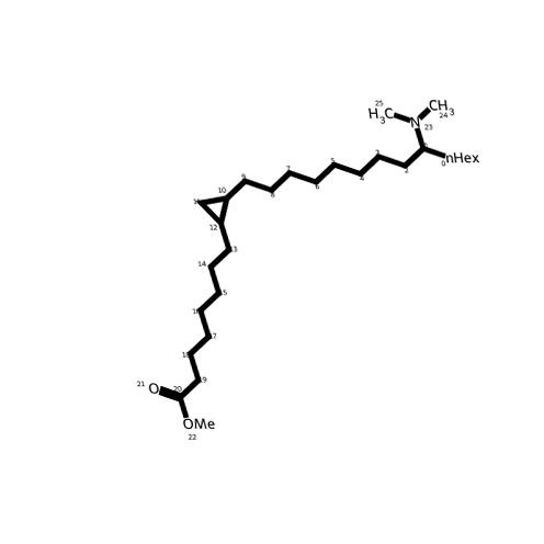 CCCCCCC(CCCCCCCCC1CC1CCCCCCCC(=O)OC)N(C)C